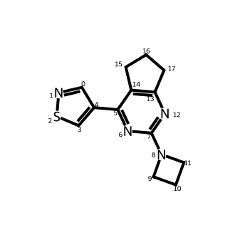 c1nscc1-c1nc(N2CCC2)nc2c1CCC2